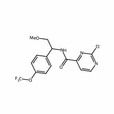 COCC(NC(=O)c1ccnc(Cl)n1)c1ccc(OC(F)(F)F)cc1